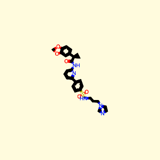 O=C(Nc1cccc(-c2ccc(S(=O)(=O)NCCCn3ccnc3)cc2)n1)C1(c2ccc3c(c2)OCO3)CC1